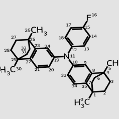 CC12CCC(C)(CC1)c1cc(N(c3ccc(F)cc3)c3ccc4c(c3)C3(C)CCC4(C)CC3)ccc12